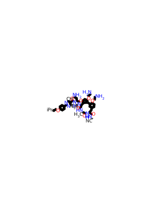 Cc1nc(-c2ccc(OCCC(C)C)cc2)nc(C)c1C(=O)NC(CCN)C(=O)N(C)C1C(=O)NC(C)C(=O)NC(C(=O)NCC#N)Cc2ccc(OCCN)c(c2)-c2cc1ccc2OCCN